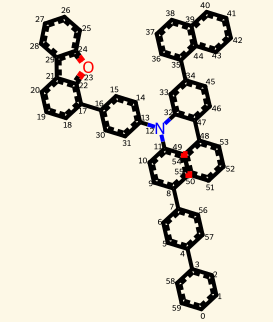 c1ccc(-c2ccc(-c3ccc(N(c4ccc(-c5cccc6c5oc5ccccc56)cc4)c4cc(-c5cccc6ccccc56)ccc4-c4ccccc4)cc3)cc2)cc1